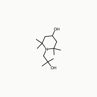 CC(C)(O)CN1C(C)(C)CC(O)CC1(C)C